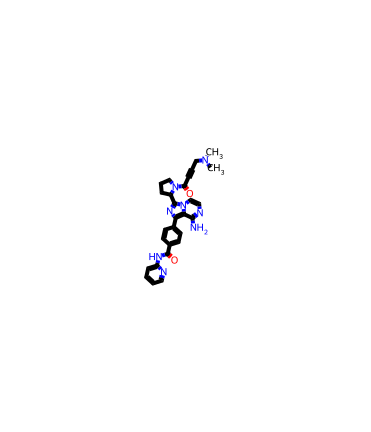 CN(C)CC#CC(=O)N1CCCC1c1nc(-c2ccc(C(=O)Nc3ccccn3)cc2)c2c(N)nccn12